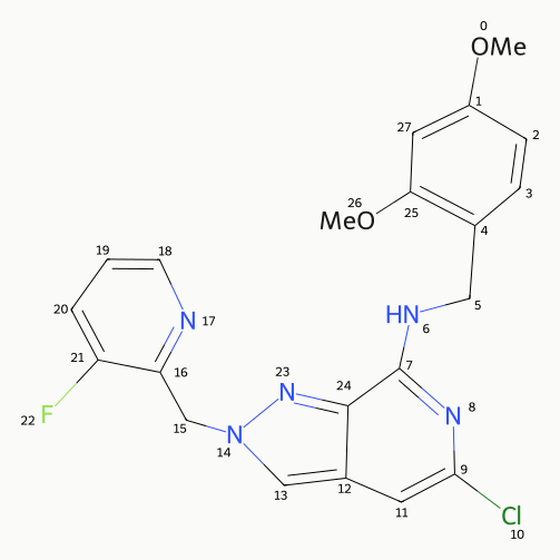 COc1ccc(CNc2nc(Cl)cc3cn(Cc4ncccc4F)nc23)c(OC)c1